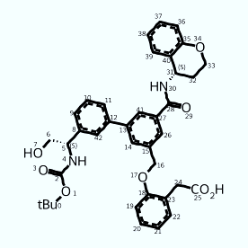 CC(C)(C)OC(=O)N[C@H](CO)c1cccc(-c2cc(COc3ccccc3CC(=O)O)cc(C(=O)N[C@H]3CCOc4ccccc43)c2)c1